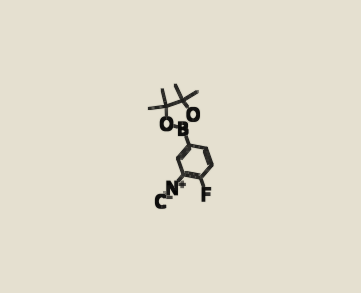 [C-]#[N+]c1cc(B2OC(C)(C)C(C)(C)O2)ccc1F